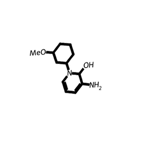 COC1CCCC(N2C=CC=C(N)C2O)C1